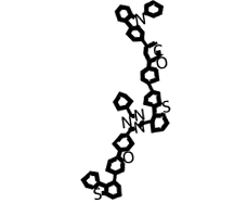 c1ccc(-c2nc(-c3ccc4c(c3)oc3cc(-c5cccc6sc7ccccc7c56)ccc34)nc(-c3cccc4sc5cc(-c6ccc7c(c6)oc6ccc(-c8ccc9c%10ccccc%10n(-c%10ccccc%10)c9c8)cc67)ccc5c34)n2)cc1